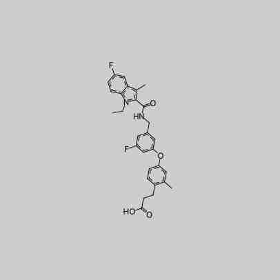 CCn1c(C(=O)NCc2cc(F)cc(Oc3ccc(CCC(=O)O)c(C)c3)c2)c(C)c2cc(F)ccc21